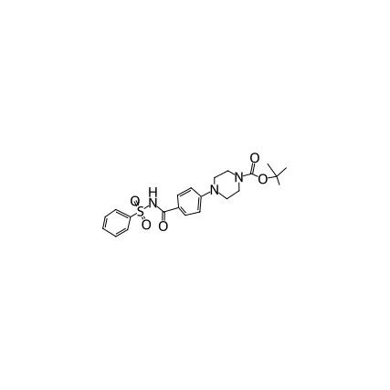 CC(C)(C)OC(=O)N1CCN(c2ccc(C(=O)NS(=O)(=O)c3ccccc3)cc2)CC1